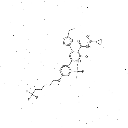 CCc1ccc(-c2cc(-c3ccc(OCCCCCC(F)(F)F)cc3C(F)(F)F)[nH]c(=O)c2C(=O)N[S+]([O-])C2CC2)s1